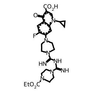 CCOC(=O)N1CCN(C(=N)NC(=N)N2CCN(c3cc4c(cc3F)c(=O)c(C(=O)O)cn4C3CC3)CC2)CC1